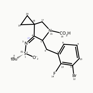 CC(C)(C)[S@@+]([O-])/N=C1\C(Cc2cccc(Br)c2F)N(C(=O)O)CC12CC2